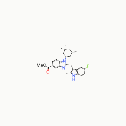 COC(=O)c1ccc2c(c1)nc(Cc1c(C)[nH]c3ccc(F)cc13)n2[C@@H]1C[C@H](C)CC(C)(C)C1